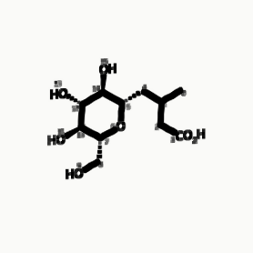 CC(CC(=O)O)C[C@@H]1O[C@H](CO)[C@@H](O)[C@H](O)[C@H]1O